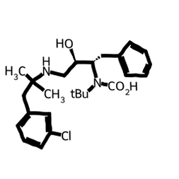 CC(C)(Cc1cccc(Cl)c1)NC[C@@H](O)[C@H](Cc1ccccc1)N(C(=O)O)C(C)(C)C